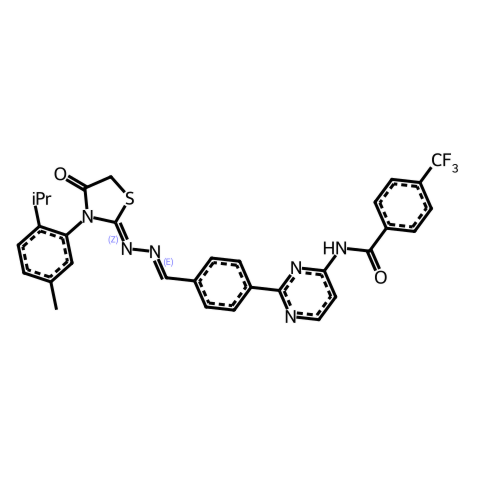 Cc1ccc(C(C)C)c(N2C(=O)CS/C2=N\N=C\c2ccc(-c3nccc(NC(=O)c4ccc(C(F)(F)F)cc4)n3)cc2)c1